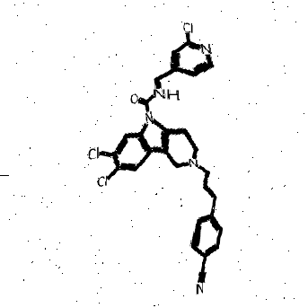 N#Cc1ccc(C=CCN2CCc3c(c4cc(Cl)c(Cl)cc4n3C(=O)NCc3ccnc(Cl)c3)C2)cc1